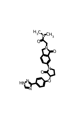 CN(C)C(=O)CN1Cc2ccc(N3CC[C@@H](Oc4ccc(-c5nc[nH]n5)cc4)C3=O)cc2C1=O